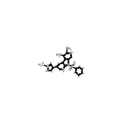 Bc1c(N)ncc2c1c1cc(-c3cnn(C)c3)cnc1n2S(=O)(=O)c1ccccc1